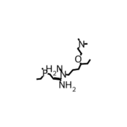 CCC(CCCN(N)/C(N)=C\CP(C)CC)OCCN(C)C